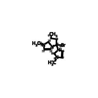 CCCC(Br)(N1C=CN(C)C1)N1C=CN(C)C1